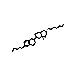 CCCCCCC[C@@H]1CC[C@@H]2CC(C3CCc4cc(CCCCC)ccc4C3)CCC2C1